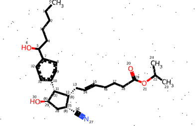 CCCCCC(O)c1ccc([C@@H]2[C@H](CC=CCCCC(=O)OC(C)C)[C@H](C#N)C[C@H]2O)cc1